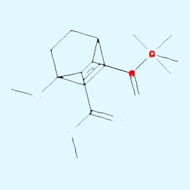 COC(=O)C1=C(C(=O)OC)C2(OC)C=C(O[Si](C)(C)C)C1CC2